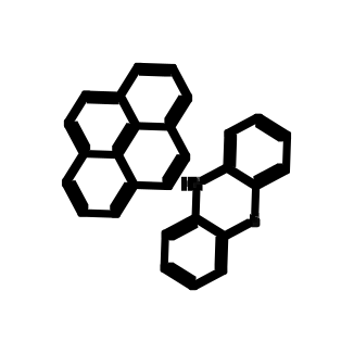 c1cc2ccc3cccc4ccc(c1)c2c34.c1ccc2c(c1)Nc1ccccc1S2